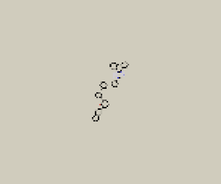 c1cc(-c2cccc(-c3cnc4c5ccccc5c5ccccc5c4n3)c2)cc(-c2cccc(-c3cccc4c3oc3cc5ccccc5cc34)c2)c1